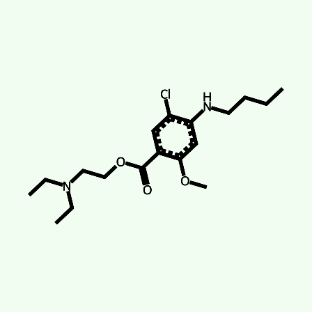 CCCCNc1cc(OC)c(C(=O)OCCN(CC)CC)cc1Cl